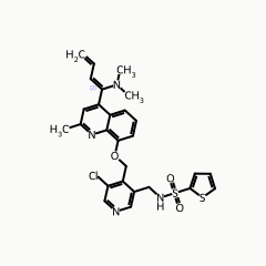 C=C/C=C(/c1cc(C)nc2c(OCc3c(Cl)cncc3CNS(=O)(=O)c3cccs3)cccc12)N(C)C